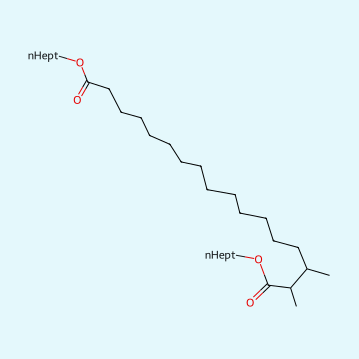 CCCCCCCOC(=O)CCCCCCCCCCCCCC(C)C(C)C(=O)OCCCCCCC